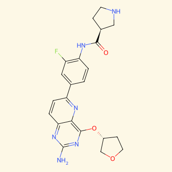 Nc1nc(O[C@@H]2CCOC2)c2nc(-c3ccc(NC(=O)[C@H]4CCNC4)c(F)c3)ccc2n1